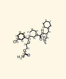 CNC[C@H](CC1CCCCC1)NC(=O)N1CCC[C@@H]([C@@H](OCCOC(N)=O)c2cccc(Cl)c2)C1